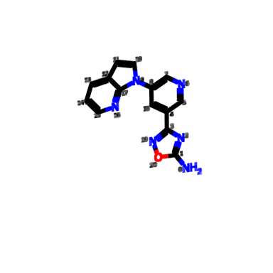 Nc1nc(-c2cncc(-n3ccc4c[c]cnc43)c2)no1